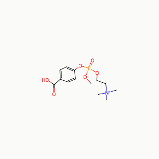 COP(=O)(OCC[N+](C)(C)C)Oc1ccc(C(=O)O)cc1